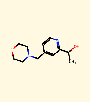 CC(O)c1cc(CN2CCOCC2)ccn1